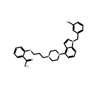 NC(=O)c1ccccc1OCCCN1CCN(c2cccc3c2ccn3Cc2cccc(Cl)c2)CC1